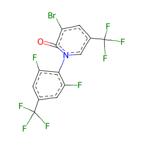 O=c1c(Br)cc(C(F)(F)F)cn1-c1c(F)cc(C(F)(F)F)cc1F